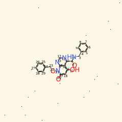 O=C(NCc1ccccc1)c1ncnc2c1c(O)cc(=O)n2OCc1ccccc1